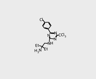 CCC(N)(CC)CNc1nc(-c2ccc(Cl)cc2)nc(C(Cl)(Cl)Cl)n1